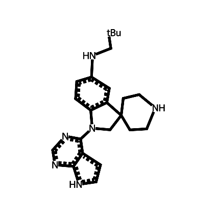 CC(C)(C)CNc1ccc2c(c1)C1(CCNCC1)CN2c1ncnc2[nH]ccc12